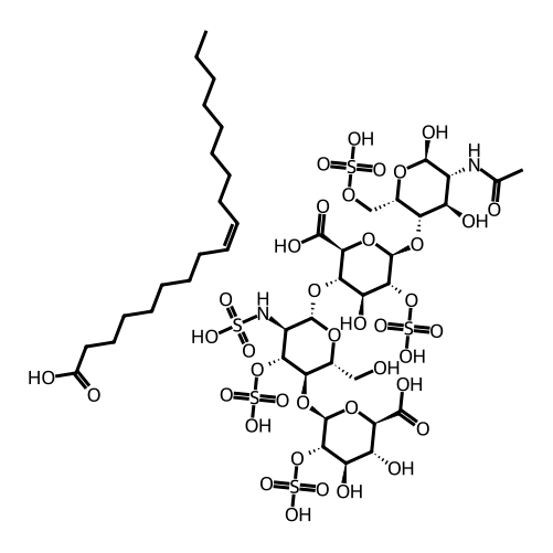 CC(=O)N[C@@H]1[C@@H](O)[C@H](O[C@@H]2O[C@H](C(=O)O)[C@@H](O[C@@H]3O[C@H](CO)[C@@H](O[C@H]4O[C@@H](C(=O)O)[C@H](O)[C@@H](O)[C@@H]4OS(=O)(=O)O)[C@H](OS(=O)(=O)O)[C@H]3NS(=O)(=O)O)[C@H](O)[C@H]2OS(=O)(=O)O)[C@H](COS(=O)(=O)O)O[C@H]1O.CCCCCCCC/C=C\CCCCCCCC(=O)O